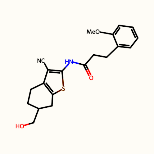 COc1ccccc1CCC(=O)Nc1sc2c(c1C#N)CCC(CO)C2